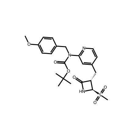 COc1ccc(CN(C(=O)OC(C)(C)C)c2cc(C[C@H]3C(=O)N[C@@H]3S(C)(=O)=O)ccn2)cc1